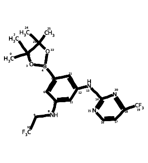 CC1(C)OB(c2cc(NCC(F)(F)F)cc(Nc3nccc(C(F)(F)F)n3)c2)OC1(C)C